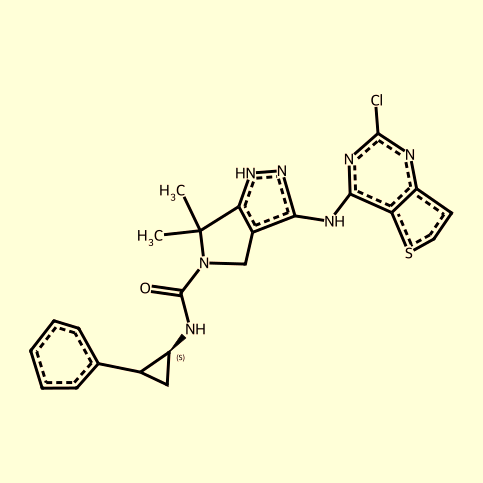 CC1(C)c2[nH]nc(Nc3nc(Cl)nc4ccsc34)c2CN1C(=O)N[C@H]1CC1c1ccccc1